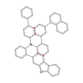 c1ccc(-c2ccc(N(c3ccccc3-c3cccc(-c4cccc5ccccc45)c3)c3ccccc3-c3ccc4c(c3)oc3ccccc34)cc2)cc1